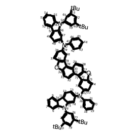 CC(C)(C)c1cc(-n2c3ccccc3c3ccc(N(c4ccccc4)c4ccc5oc6ccc7c(ccc8oc9ccc(N(c%10ccccc%10)c%10ccc%11c%12ccccc%12n(-c%12cc(C(C)(C)C)cc(C(C)(C)C)c%12)c%11c%10)cc9c87)c6c5c4)cc32)cc(C(C)(C)C)c1